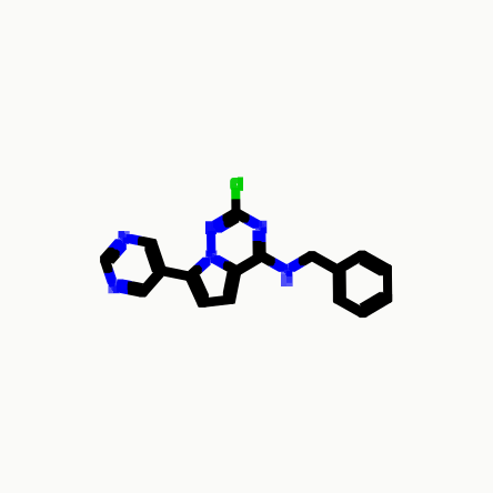 Clc1nc(NCc2ccccc2)c2ccc(-c3cncnc3)n2n1